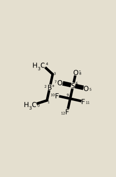 CC[B+]CC.O=S(=O)([O-])C(F)(F)F